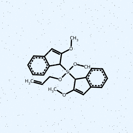 C=CCO[Si](OC)(C1C(OC)=Cc2ccccc21)C1C(OC)=Cc2ccccc21